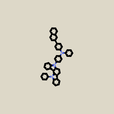 c1ccc(N(c2ccc(-c3ccc4ccccc4c3)cc2)c2ccc(-n3c4ccccc4c4c3ccc3c5ccccc5n(-c5ccccc5)c34)cc2)cc1